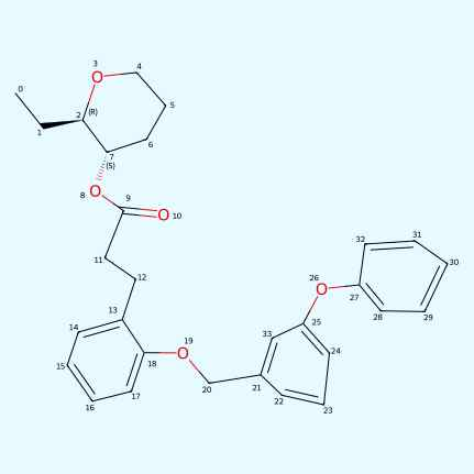 CC[C@H]1OCCC[C@@H]1OC(=O)CCc1ccccc1OCc1cccc(Oc2ccccc2)c1